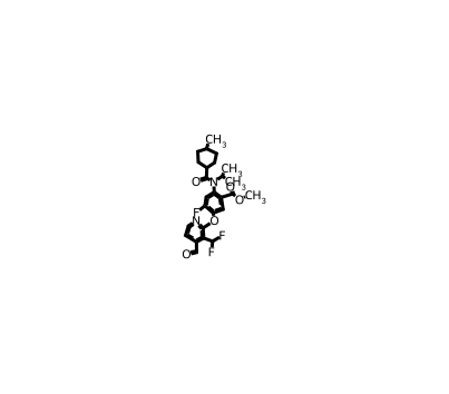 COC(=O)c1cc(Oc2nccc(C=O)c2C(F)F)c(F)cc1N(C(=O)C1CCC(C)CC1)C(C)C